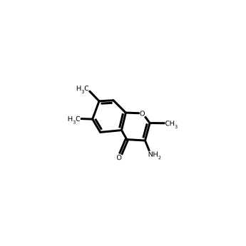 Cc1cc2oc(C)c(N)c(=O)c2cc1C